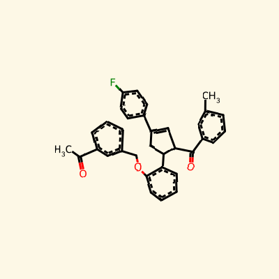 CC(=O)c1cccc(COc2ccccc2C2CC(c3ccc(F)cc3)=CC2C(=O)c2cccc(C)c2)c1